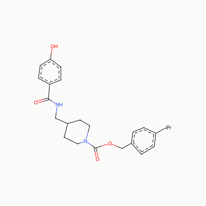 CC(C)c1ccc(COC(=O)N2CCC(CNC(=O)c3ccc(O)cc3)CC2)cc1